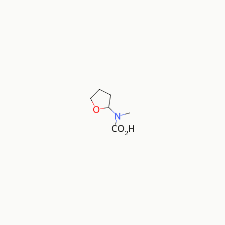 CN(C(=O)O)C1CCCO1